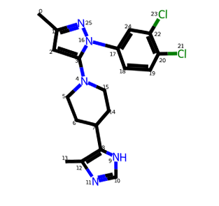 Cc1cc(N2CCC(c3[nH]cnc3C)CC2)n(-c2ccc(Cl)c(Cl)c2)n1